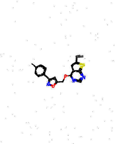 Cc1ccc(-c2cc(COc3ncnc4sc(C(C)(C)C)cc34)on2)cc1